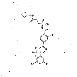 Cc1cc(C2=NOC(c3cc(Cl)cc(Cl)c3)(C(F)(F)F)C2)ccc1C(=O)N=S(C)(=O)CCC(=O)NC1CCC1